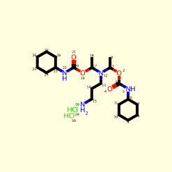 CC(OC(=O)NC1CCCCC1)N(CCCN)C(C)OC(=O)NC1CCCCC1.Cl.Cl